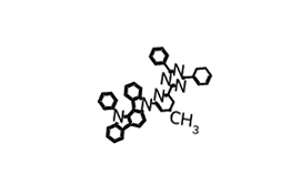 CC1C=C(n2c3ccccc3c3c2ccc2c4ccccc4n(-c4ccccc4)c23)N=C(c2nc(C3=CC=CCC3)nc(-c3ccccc3)n2)C1